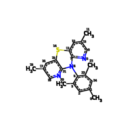 Cc1cc(C)c(N2c3ncc(C)cc3Sc3cc(C)cnc32)c(C)c1